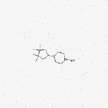 CC(C)N1CCN(C2CC(C)(C)C(C)(C)C2)CC1